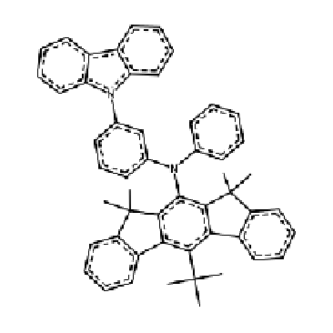 CC(C)(C)c1c2c(c(N(c3ccccc3)c3cccc(-n4c5ccccc5c5ccccc54)c3)c3c1-c1ccccc1C3(C)C)C(C)(C)c1ccccc1-2